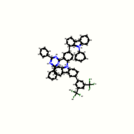 FC(F)(F)c1cc(-c2ccc3c(c2)c2ccccc2n3-c2ccc(-c3cccc4c5ccccc5n(-c5ccccc5)c34)cc2-c2nc(-c3ccccc3)nc(-c3ccccc3)n2)cc(C(F)(F)F)c1